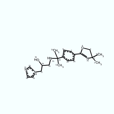 CC1(C)COC(c2ccc(C(C)(C)NCC(O)Cn3ccnc3)cc2)=N1